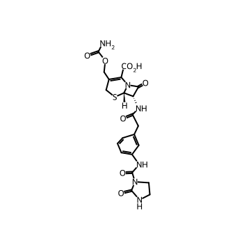 NC(=O)OCC1=C(C(=O)O)N2C(=O)[C@H](NC(=O)Cc3cccc(NC(=O)N4CCNC4=O)c3)[C@@H]2SC1